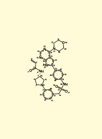 C=CC(=O)N[C@H]1CCN(c2cccc(CS(=O)(=O)Nc3ccc(-c4cc5c(N6CCOCC6)ncnc5[nH]4)cc3)c2)C1